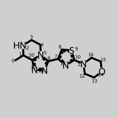 CC1NCCn2c(-c3csc(N4CCOCC4)n3)nnc21